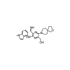 Cn1ccc2c(Nc3nc(CO)c(N4CCC5(CCOC5)CC4)nc3C=N)cccc21